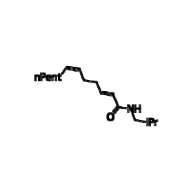 CCCCC/C=C\CC/C=C/C(=O)NCC(C)C